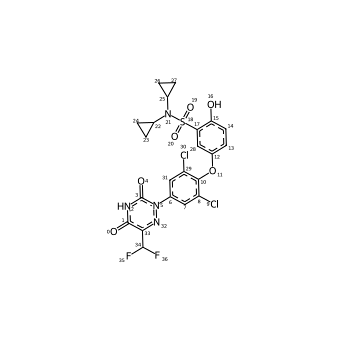 O=c1[nH]c(=O)n(-c2cc(Cl)c(Oc3ccc(O)c(S(=O)(=O)N(C4CC4)C4CC4)c3)c(Cl)c2)nc1C(F)F